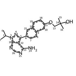 CC(C)n1nc(-c2ccc3cc(OCC(C)(C)O)ccc3c2)c2c(N)ncnc21